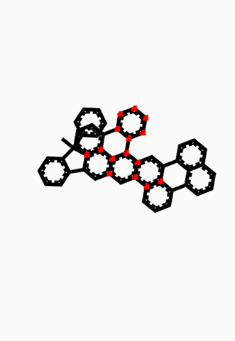 CC1(c2ccccc2)c2ccccc2-c2ccc(N(c3cccc(-c4cccc5cccc(-c6ccccc6)c45)c3)c3ccccc3-c3ccccc3-c3ccccc3-c3ccccc3)cc21